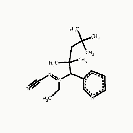 CC/S(=N\C#N)C(c1cccnc1)C(C)(C)CC(C)(C)C